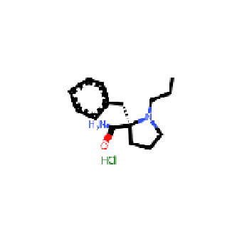 CCCN1CCC[C@@]1(Cc1ccccc1)C(N)=O.Cl